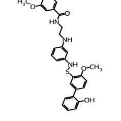 COc1cccc(C(=O)NCCNc2cccc(NSc3cc(-c4ccccc4O)ccc3OC)c2)c1